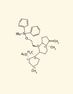 C=C1CCC2[C@H](CCO[Si](c3ccccc3)(c3ccccc3)C(C)(C)C)C([C@@]3(C)CC[C@H](C)C[C@@H]3OC(C)=O)CC[C@]12C